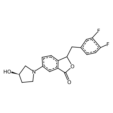 O=C1OC(Cc2ccc(F)c(F)c2)c2ccc(N3CC[C@@H](O)C3)cc21